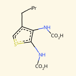 CC(C)Cc1csc(NC(=O)O)c1NC(=O)O